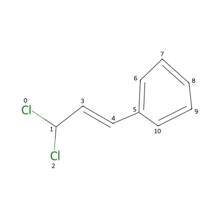 ClC(Cl)/C=C/c1ccccc1